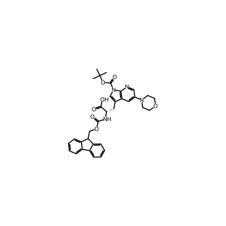 CC(C)(C)OC(=O)n1cc(C[C@H](NC(=O)OCC2c3ccccc3-c3ccccc32)C(=O)O)c2cc(N3CCOCC3)cnc21